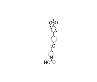 CS(=O)(=O)c1cnc(C2CCC(OCC3CCN(C(=O)O)CC3)CC2)cn1